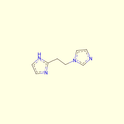 c1cn(CCc2ncc[nH]2)cn1